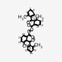 Cc1ccccc1C(=O)c1c(C)cccc1C(=O)OOC(=O)c1cccc(C)c1C(=O)c1ccccc1C